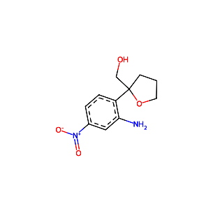 Nc1cc([N+](=O)[O-])ccc1C1(CO)CCCO1